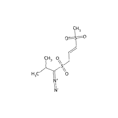 CC(C)C(=[N+]=[N-])S(=O)(=O)CC=CS(C)(=O)=O